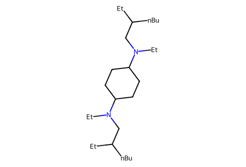 CCCCC(CC)CN(CC)C1CCC(N(CC)CC(CC)CCCC)CC1